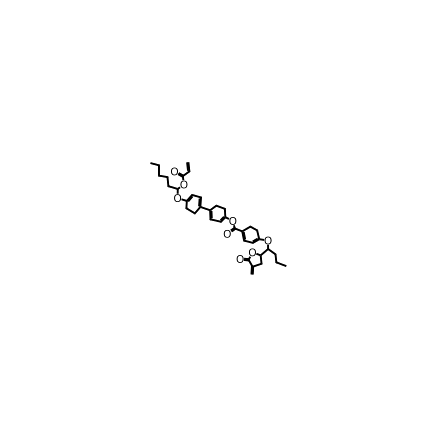 C=CC(=O)OC(CCCCC)OC1=CC=C(C2=CC=C(OC(=O)C3=CC=C(OC(CCC)C4CC(=C)C(=O)O4)CC3)CC2)CC1